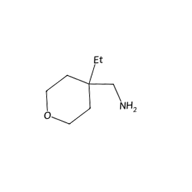 CCC1(CN)CCOCC1